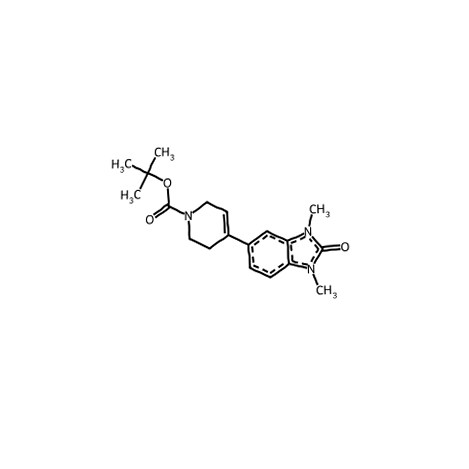 Cn1c(=O)n(C)c2cc(C3=CCN(C(=O)OC(C)(C)C)CC3)ccc21